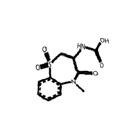 CN1C(=O)C(NC(=O)O)CS(=O)(=O)c2ccccc21